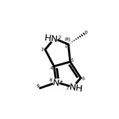 C[C@H]1NCc2c1c[nH][n+]2C